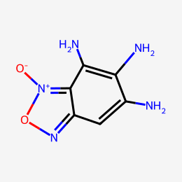 Nc1cc2no[n+]([O-])c2c(N)c1N